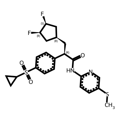 CSc1ccc(NC(=O)[C@H](C[C@H]2C[C@@H](F)[C@@H](F)C2)c2ccc(S(=O)(=O)C3CC3)cc2)nc1